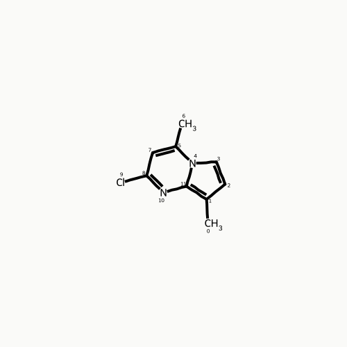 Cc1ccn2c(C)cc(Cl)nc12